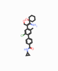 Cc1cc(-c2ccc(C(=O)NC3CC3)cc2)c(Cl)cc1C1=C(N)C2(CCCCC2)OOC1